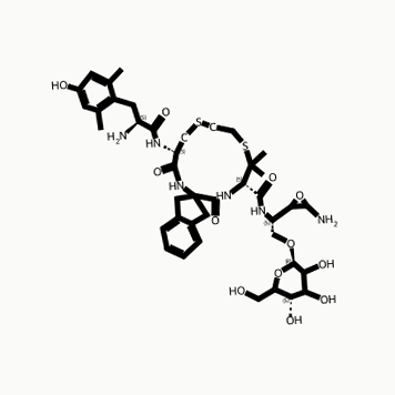 Cc1cc(O)cc(C)c1C[C@H](N)C(=O)N[C@@H]1CSCCSC(C)(C)[C@H](C(=O)N[C@@H](CO[C@@H]2OC(CO)[C@@H](O)C(O)C2O)C2OC2N)NC(=O)C2(Cc3ccccc3C2)NC1=O